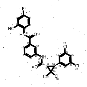 N#Cc1cc(F)ccc1NC(=O)c1cccc(NC(=O)[C@@H]2[C@@H](c3cc(Cl)cc(Cl)c3)C2(Cl)Cl)c1